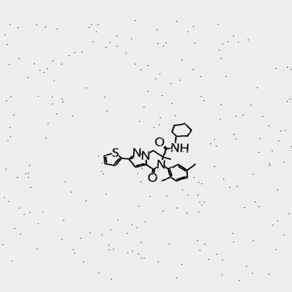 Cc1ccc(C)c(N2C(=O)c3cc(-c4cccs4)nn3CC2(C)C(=O)NC2CCCCC2)c1